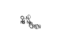 CN1CCN(c2cccc3nc(C4CCCCN4Cc4ccccc4-n4cccn4)cn23)CC1